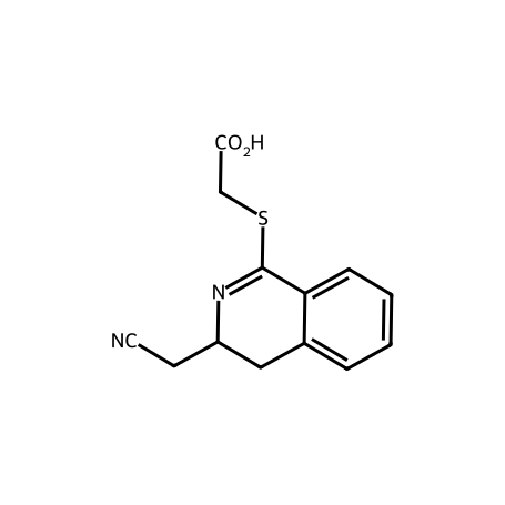 N#CCC1Cc2ccccc2C(SCC(=O)O)=N1